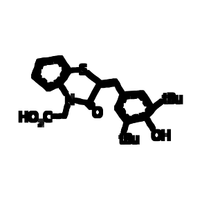 CC(C)(C)c1cc(C=C2Sc3ccccc3N(CC(=O)O)C2=O)cc(C(C)(C)C)c1O